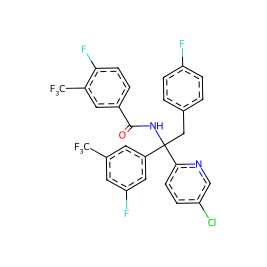 O=C(NC(Cc1ccc(F)cc1)(c1cc(F)cc(C(F)(F)F)c1)c1ccc(Cl)cn1)c1ccc(F)c(C(F)(F)F)c1